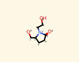 [O]CC1CCC(=O)N1CCO